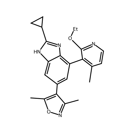 CCOc1nccc(C)c1-c1cc(-c2c(C)noc2C)cc2[nH]c(C3CC3)nc12